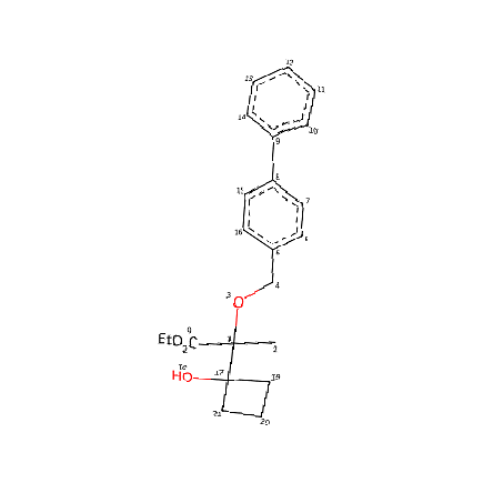 CCOC(=O)C(C)(OCc1ccc(-c2ccccc2)cc1)C1(O)CCC1